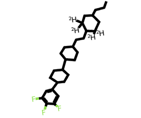 [2H]C1([2H])CC(CCC)CC([2H])([2H])C1CCC1CCC(C2CCC(c3cc(F)c(F)c(F)c3)CC2)CC1